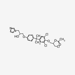 CC(=O)OC(CCl)COc1c(Cl)cc(C(C)(C)c2ccc(OCC(O)Cn3ccnc3)cc2)cc1Cl